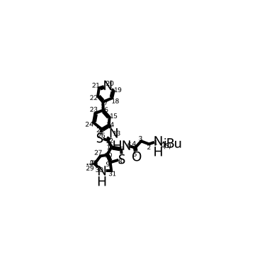 CC[C@H](C)NCCC(=O)Nc1sc2c(c1-c1nc3cc(-c4ccncc4)ccc3s1)C[C@@H](C)NC2